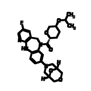 CC(C)O[C@H]1CC[C@H](C(=O)N2Cc3cc(F)cnc3Nc3ccc(N4C[C@H]5COC[C@@H](C4)O5)cc32)OC1